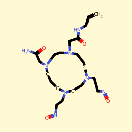 C=CCNC(=O)CN1CCCN(CCN=O)CCN(CCN=O)CCCN(CC(N)=O)CC1